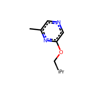 Cc1cncc(OCC(C)C)n1